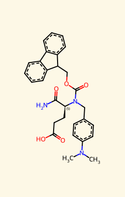 CN(C)c1ccc(CN(C(=O)OCC2c3ccccc3-c3ccccc32)[C@@H](CCC(=O)O)C(N)=O)cc1